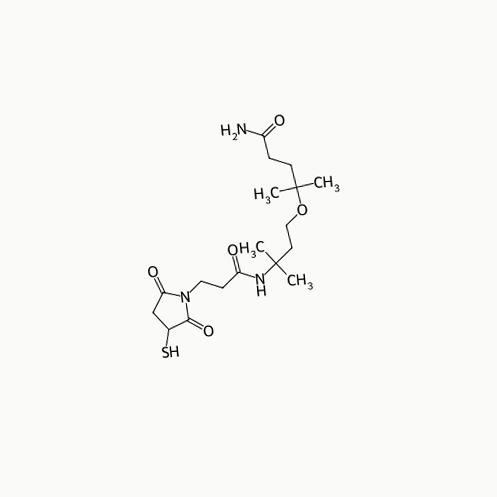 CC(C)(CCOC(C)(C)CCC(N)=O)NC(=O)CCN1C(=O)CC(S)C1=O